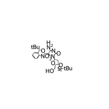 CC(C)(C)[C@H](OCc1cn([C@H]2C[C@@H](O[Si](C)(C)C(C)(C)C)[C@@H](CO)O2)c(=O)nc1N)c1ccccc1[N+](=O)[O-]